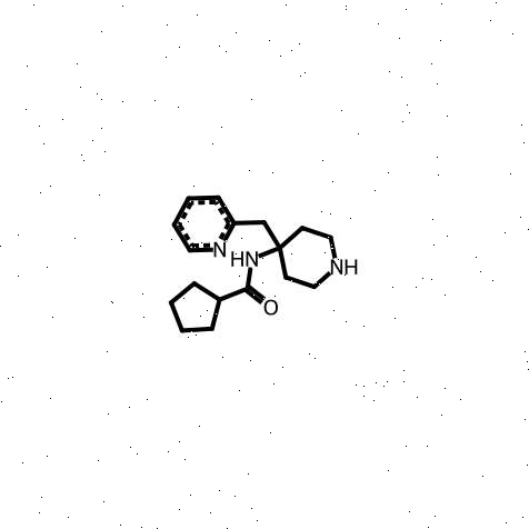 O=C(NC1(Cc2ccccn2)CCNCC1)C1CCCC1